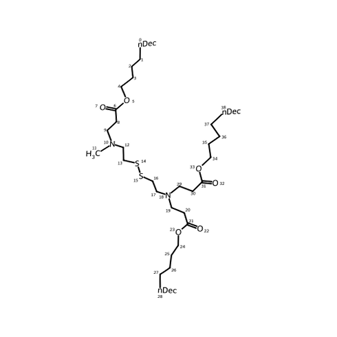 CCCCCCCCCCCCCCOC(=O)CCN(C)CCSSCCN(CCC(=O)OCCCCCCCCCCCCCC)CCC(=O)OCCCCCCCCCCCCCC